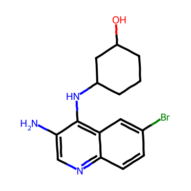 Nc1cnc2ccc(Br)cc2c1NC1CCCC(O)C1